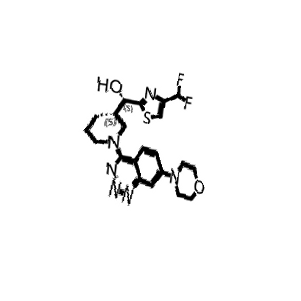 O[C@H](c1nc(C(F)F)cs1)[C@H]1CCCN(c2nnnc3cc(N4CCOCC4)ccc23)C1